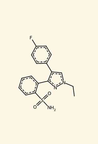 CCn1cc(-c2ccc(F)cc2)c(-c2ccccc2S(N)(=O)=O)n1